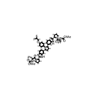 COC(=O)N[C@H](C(=O)N1CCC[C@H]1c1nc2ccc([C@H]3CC[C@H](c4ccc5nc([C@@H]6CCCN6C(=O)[C@@H](NC(=O)OC)C(C)C)[nH]c5c4)N3c3ccc(OCC(F)F)cc3)cc2[nH]1)C(C)C